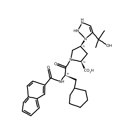 CC(C)(O)C1=CNNN1[C@H]1C[C@@H](C(=O)O)N(C(=O)[C@@H](CC2CCCCC2)NC(=O)c2ccc3ccccc3c2)C1